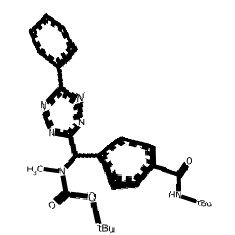 CN(C(=O)OC(C)(C)C)C(c1ccc(C(=O)NC(C)(C)C)cc1)c1nnc(-c2ccccc2)nn1